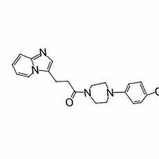 O=C(CCc1cnc2ccccn12)N1CCN(c2ccc(Cl)cc2)CC1